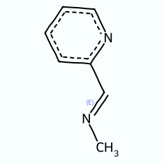 C/N=C/c1ccccn1